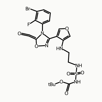 CC(C)(C)OC(=O)NS(=O)(=O)NCCNc1cocc1C1=NOC(=C=O)N1c1cccc(Br)c1F